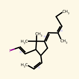 C/C=C\C1C/C(=C\C(C)=C/CC)C(C)(C)C1/C=C/I